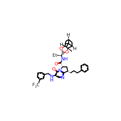 CC[C@H](NC(=O)[C@@H]1C[C@H](CCCc2ccccc2)c2ncc(NCc3cccc(C(F)(F)F)c3)c(=O)n21)B1O[C@@H]2C[C@@H]3C[C@@H](C3(C)C)[C@]2(C)O1